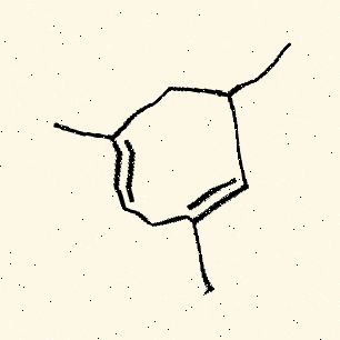 C[C]1C=C(C)C=C(C)C1